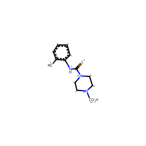 N#Cc1ccccc1NC(=S)N1CCN(C(=O)O)CC1